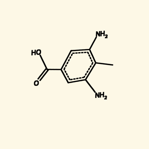 Cc1c(N)cc(C(=O)O)cc1N